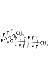 CC(F)(F)C(F)(F)C(F)(F)C(F)(F)C(F)(F)C(F)(F)OC(F)(C(C)(F)F)C(F)(F)F